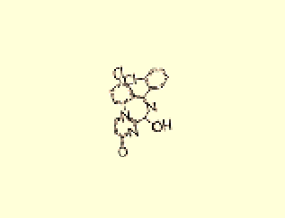 O=c1ccn2c(n1)C(O)N=C(c1ccccc1Cl)c1cc(Cl)ccc1-2